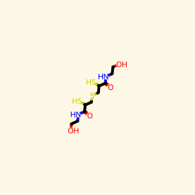 O=C(NCCO)C(S)CSCC(S)C(=O)NCCO